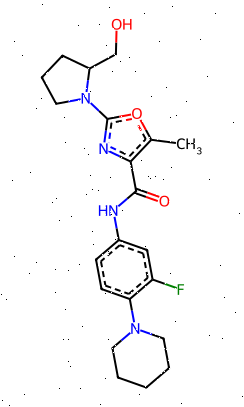 Cc1oc(N2CCCC2CO)nc1C(=O)Nc1ccc(N2CCCCC2)c(F)c1